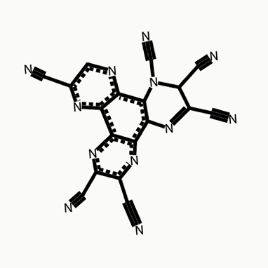 N#CC1=Nc2c(c3ncc(C#N)nc3c3nc(C#N)c(C#N)nc23)N(C#N)C1C#N